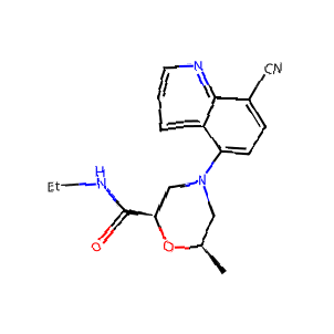 CCNC(=O)[C@H]1CN(c2ccc(C#N)c3ncccc23)C[C@@H](C)O1